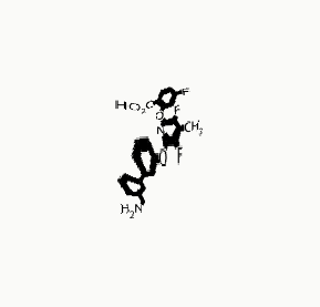 Cc1c(F)c(Oc2cccc(-c3cccc(CN)c3)c2)nc(Oc2cc(F)ccc2C(=O)O)c1F